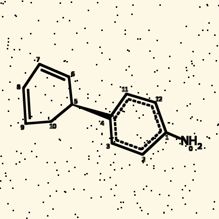 Nc1ccc([C@@H]2C=CC=CC2)cc1